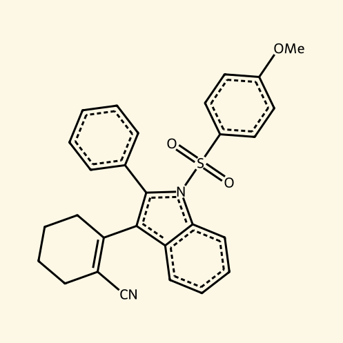 COc1ccc(S(=O)(=O)n2c(-c3ccccc3)c(C3=C(C#N)CCCC3)c3ccccc32)cc1